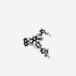 Cc1cccc2cccc(N3CCc4c(nc(OCC5CCCN5C)c(C#N)c4N4CCN(C(=O)/C=C\C5CCCN5C)CC4)C3)c12